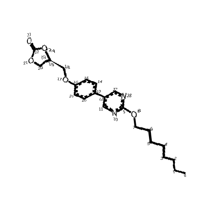 CCCCCCCCOc1ncc(-c2ccc(OC[C@H]3COC(=O)O3)cc2)cn1